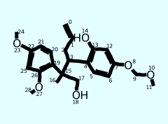 C=CCC(c1ccc(OCOC)cc1O)C(C)(CO)c1ccc(OC)cc1OC